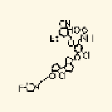 CCC1=CC(COc2cc(O[C@H]3CCc4c(-c5cccc(OCCCC6CC67CCC(F)CC7)c5Cl)cccc43)c(Cl)cc2CN[C@@H]2CC[C@H]2O)=CC(C#N)=CC1